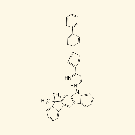 CC1(C)c2ccccc2-c2cc3c4ccccc4n(N/C=C\C(=N)c4ccc(C5C=CC(c6ccccc6)=CC5)cc4)c3cc21